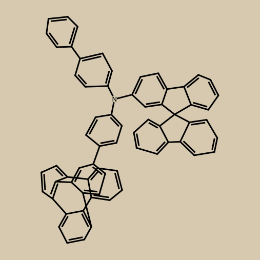 c1ccc(-c2ccc(N(c3ccc(-c4ccc5c(c4)-c4c6cccc4-c4cccc-5c4-c4ccccc4-6)cc3)c3ccc4c(c3)C3(c5ccccc5-c5ccccc53)c3ccccc3-4)cc2)cc1